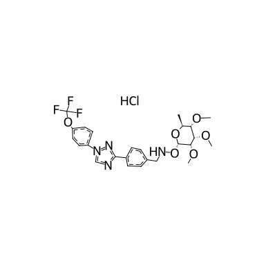 CO[C@@H]1[C@H](OC)[C@H](ONCc2ccc(-c3ncn(-c4ccc(OC(F)(F)F)cc4)n3)cc2)O[C@@H](C)[C@@H]1OC.Cl